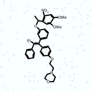 CC/C(=C(/c1ccc(OCCN2CCOCC2)cc1)c1cccc(OC(C)c2cc(OC)c(OC)cc2[N+](=O)[O-])c1)c1ccccc1